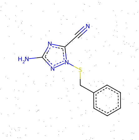 N#Cc1nc(N)nn1SCc1ccccc1